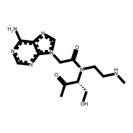 CNCCN(C(=O)Cn1cnc2c(N)ncnc21)[C@H](CO)C(C)=O